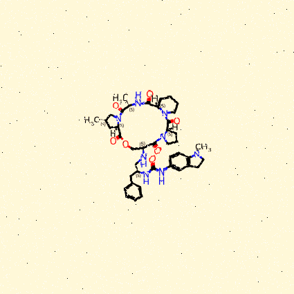 C[C@H]1C[C@H]2C(=O)OC[C@H](NC[C@H](Cc3ccccc3)NC(=O)Nc3ccc4c(c3)CCN4C)C(=O)N3CCC[C@H]3C(=O)N3CCCC[C@H]3C(=O)N[C@@H](C)C(=O)N2C1